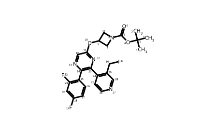 CC(C)(C)OC(=O)N1CC(Oc2cnc(-c3ccc(F)cc3F)c(-c3ccncc3CI)n2)C1